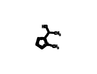 CC(O)c1cccn1C